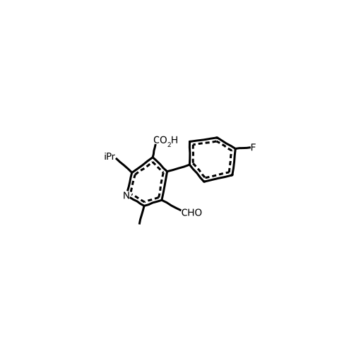 Cc1nc(C(C)C)c(C(=O)O)c(-c2ccc(F)cc2)c1C=O